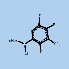 CCCCCCP(CC)c1cc(F)c(F)c(C(F)(F)F)c1F